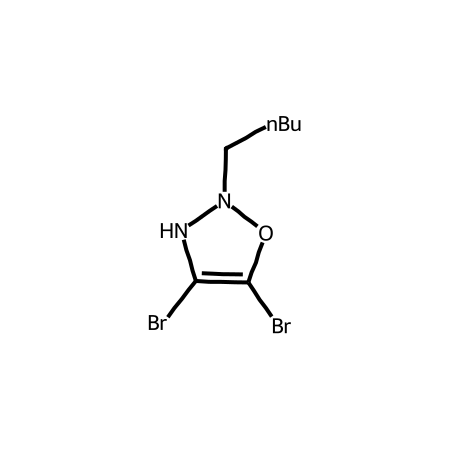 CCCCCN1NC(Br)=C(Br)O1